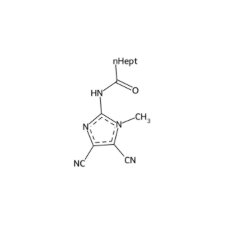 CCCCCCCC(=O)Nc1nc(C#N)c(C#N)n1C